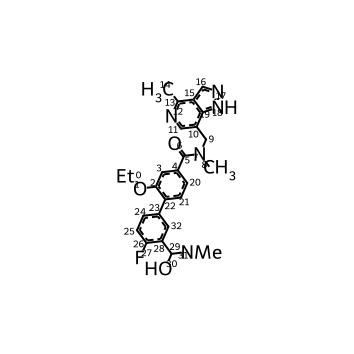 CCOc1cc(C(=O)N(C)Cc2cnc(C)c3cn[nH]c23)ccc1-c1ccc(F)c(C(O)NC)c1